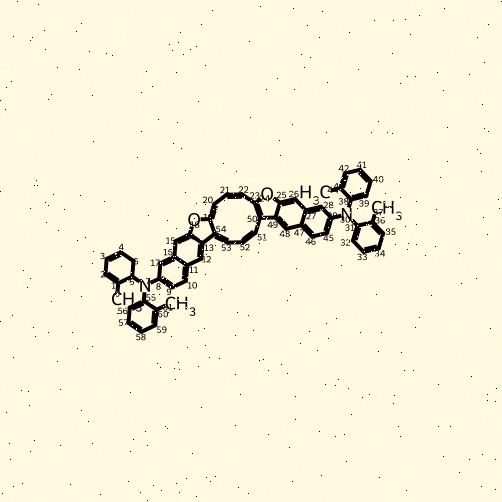 CC1=CC=CCC1N(c1ccc2cc3c(cc2c1)oc1cccc2oc4cc5cc(N(c6ccccc6C)c6ccccc6C)ccc5cc4c2cccc13)c1ccccc1C